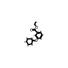 CCOC(=O)c1cccc(OC2CCCCC2)c1